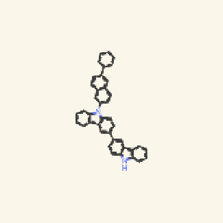 c1ccc(-c2ccc3cc(-n4c5ccccc5c5cc(-c6ccc7[nH]c8ccccc8c7c6)ccc54)ccc3c2)cc1